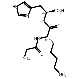 NCCCC[C@H](NC(=O)CN)C(=O)N[C@@H](Cc1c[nH]cn1)C(=O)O